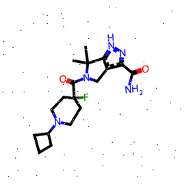 CC1(C)c2[nH]nc(C(N)=O)c2CN1C(=O)C1(F)CCN(C2CCC2)CC1